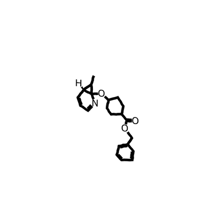 CC1[C@H]2C=CC=NC12OC1CCC(C(=O)OCc2ccccc2)CC1